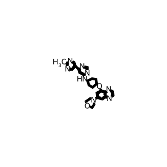 Cc1ncc(-c2cc(N[C@H]3CC[C@@H](Oc4cc(N5CCOCC5)cc5nccnc45)CC3)ncn2)cn1